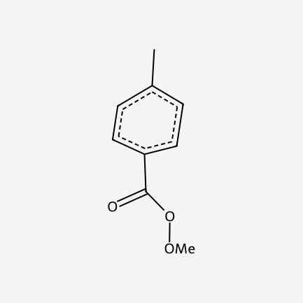 [CH2]OOC(=O)c1ccc(C)cc1